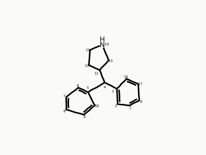 c1ccc(C(c2ccccc2)C2CCNC2)cc1